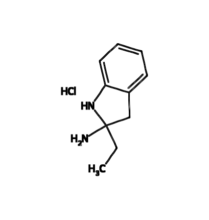 CCC1(N)Cc2ccccc2N1.Cl